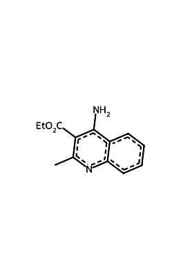 CCOC(=O)c1c(C)nc2ccccc2c1N